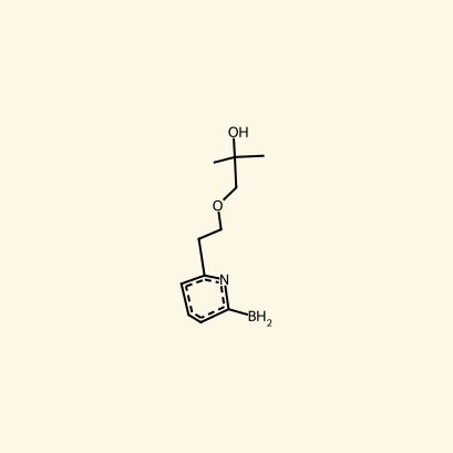 Bc1cccc(CCOCC(C)(C)O)n1